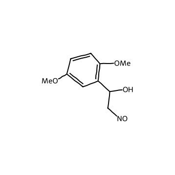 COc1ccc(OC)c(C(O)CN=O)c1